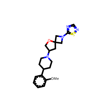 COc1ccccc1C1CCN(C2COC3(C2)CN(c2ncns2)C3)CC1